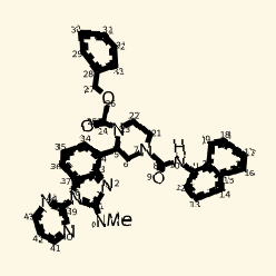 CNc1nc2c(C3CN(C(=O)Nc4cccc5ccccc45)CCN3C(=O)OCc3ccccc3)cccc2n1-c1ncccn1